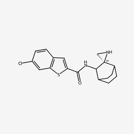 O=C(NC1C2CCC(CC2)[C@@]12CN2)c1cc2ccc(Cl)cc2s1